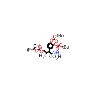 CC(C)C(C)OC(=O)OCC(C)C(c1ccc(OC(=O)OC(C)(C)C)c(OC(=O)OC(C)(C)C)c1)[C@H](N)C(=O)O